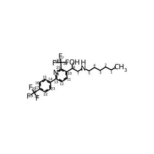 CCCCCCNCC(O)c1ccc(-c2ccc(C(F)(F)F)cc2)nc1C(F)(F)F